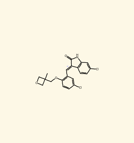 CC1(COc2ccc(Cl)cc2/C=C2/C(=O)Nc3cc(Cl)ccc32)COC1